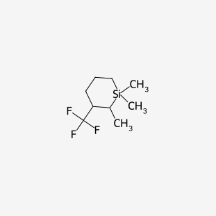 CC1C(C(F)(F)F)CCC[Si]1(C)C